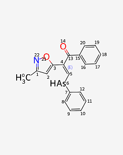 Cc1cc(/C(=C\[AsH]c2ccccc2)C(=O)c2ccccc2)on1